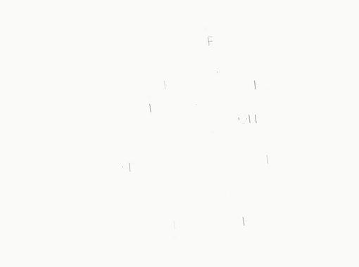 OC1(C(F)=C(F)F)C(F)=C(F)C(F)=C(F)C1F